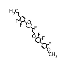 CCCc1ccc(C2CCC(C(F)CCOc3ccc(-c4ccc(OCC)c(F)c4)c(F)c3F)CO2)c(F)c1F